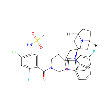 Cc1nc2ccccc2n1[C@H]1C[C@H]2CC[C@@H](C1)N2CCC1(c2cccc(F)c2)CCN(C(=O)c2cc(NS(C)(=O)=O)c(Cl)cc2F)CC1